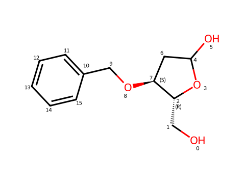 OC[C@H]1OC(O)C[C@@H]1OCc1ccccc1